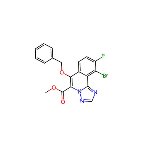 COC(=O)c1c(OCc2ccccc2)c2ccc(F)c(Br)c2c2ncnn12